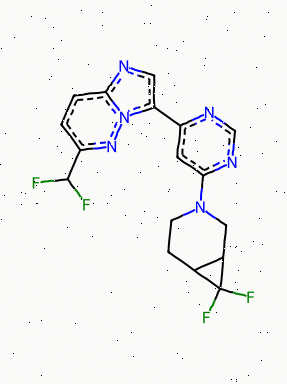 FC(F)c1ccc2ncc(-c3cc(N4CCC5C(C4)C5(F)F)ncn3)n2n1